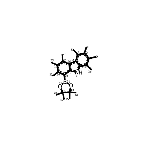 Cc1c(C)c(C)c2c([nH]c3c(B4OC(C)(C)C(C)(C)O4)c(C)c(C)c(C)c32)c1C